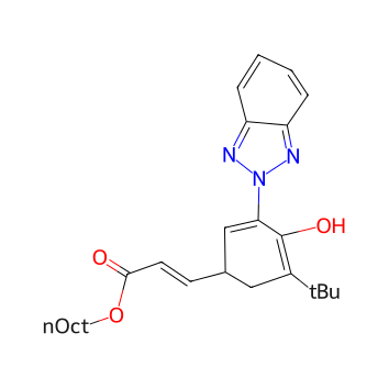 CCCCCCCCOC(=O)C=CC1C=C(n2nc3ccccc3n2)C(O)=C(C(C)(C)C)C1